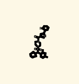 Cc1ccc(C(c2ccccc2)S(=O)(=O)N2CCN(C(=O)c3cc(-c4ccccc4F)no3)CC2)c(C)c1